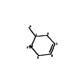 CC1CC=CC[N]1